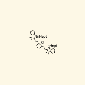 CCCCCCCN1/C(=C\C=C2/CCCC(/C=C/C3=[N+](CCCCCCC)c4ccccc4C3(C)C)=C2Cl)C(C)(C)c2ccccc21